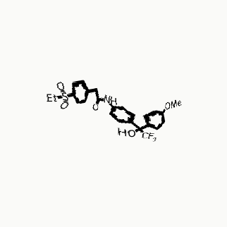 CCS(=O)(=O)c1ccc(CC(=O)Nc2ccc(C(O)(c3ccc(OC)cc3)C(F)(F)F)cc2)cc1